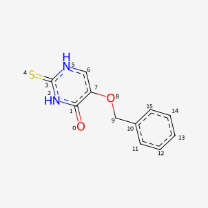 O=c1[nH]c(=S)[nH]cc1OCc1ccccc1